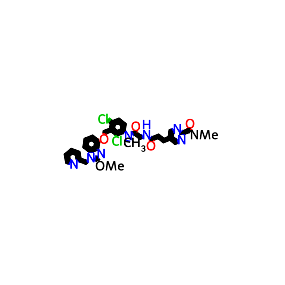 CNC(=O)c1ncc(CCC(=O)NCC(=O)N(C)c2ccc(Cl)c(COc3cccc4c3nc(OC)n4Cc3ccccn3)c2Cl)cn1